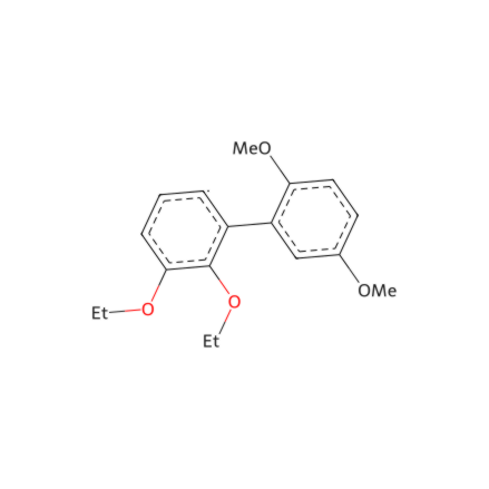 CCOc1cc[c]c(-c2cc(OC)ccc2OC)c1OCC